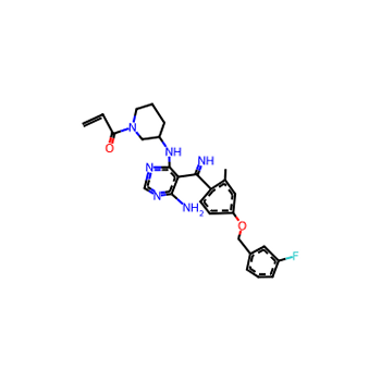 C=CC(=O)N1CCCC(Nc2ncnc(N)c2C(=N)c2ccc(OCc3cccc(F)c3)cc2C)C1